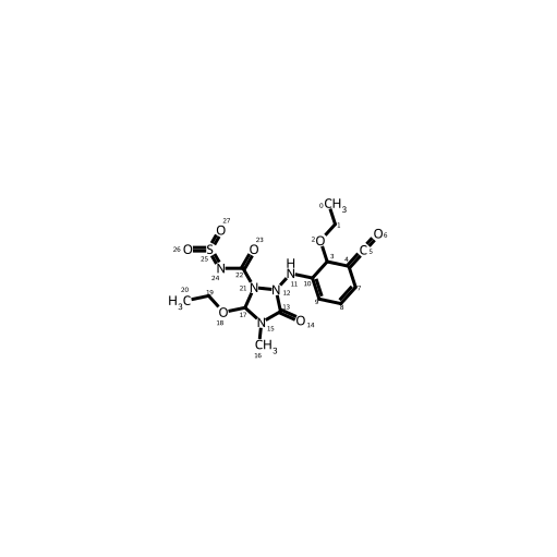 CCOC1C(=C=O)C=CC=C1NN1C(=O)N(C)C(OCC)N1C(=O)N=S(=O)=O